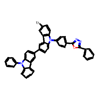 CCc1ccc2c(c1)c1cc(-c3ccc4c(c3)c3ccccc3n4-c3ccccc3)ccc1n2-c1ccc(-c2nnc(-c3ccccc3)o2)cc1